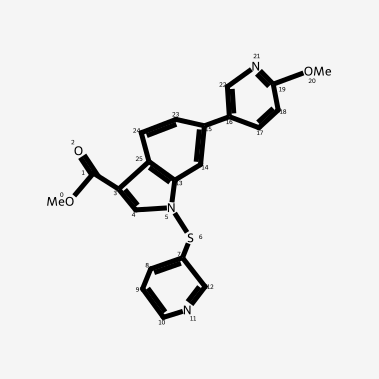 COC(=O)c1cn(Sc2cccnc2)c2cc(-c3ccc(OC)nc3)ccc12